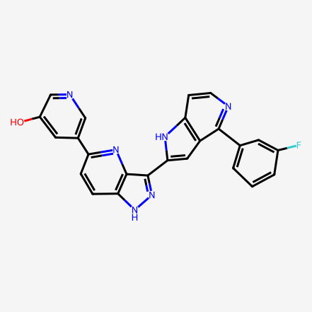 Oc1cncc(-c2ccc3[nH]nc(-c4cc5c(-c6cccc(F)c6)nccc5[nH]4)c3n2)c1